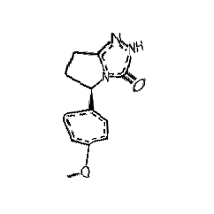 COc1ccc([C@H]2CCc3n[nH]c(=O)n32)cc1